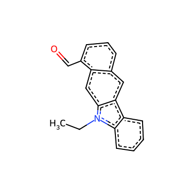 CCn1c2ccccc2c2cc3cccc(C=O)c3cc21